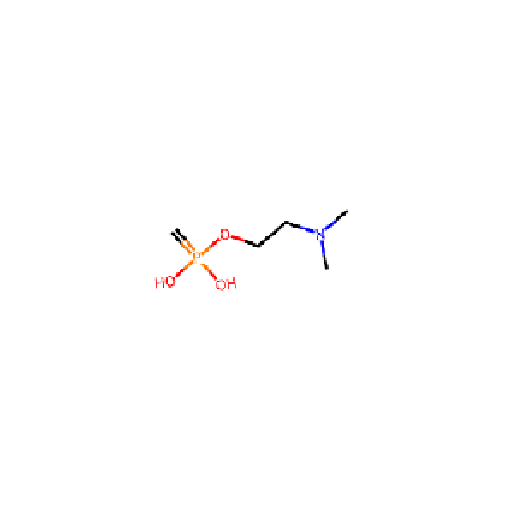 C=P(O)(O)OCCN(C)C